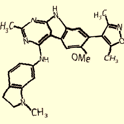 COc1cc2c(cc1-c1c(C)noc1C)[nH]c1nc(C)nc(Nc3ccc4c(c3)N(C)CC4)c12